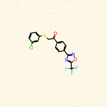 O=C(CSc1cccc(Cl)c1)c1ccc(-c2noc(C(F)(F)F)n2)cc1